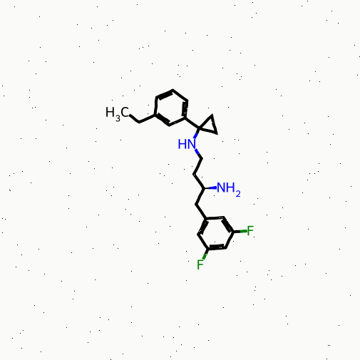 CCc1cccc(C2(NCC[C@@H](N)Cc3cc(F)cc(F)c3)CC2)c1